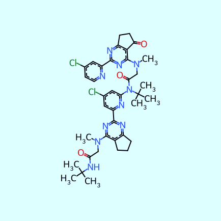 CN(CC(=O)NC(C)(C)C)c1nc(-c2cc(Cl)cc(N(C(=O)CN(C)c3nc(-c4cc(Cl)ccn4)nc4c3C(=O)CC4)C(C)(C)C)n2)nc2c1CCC2